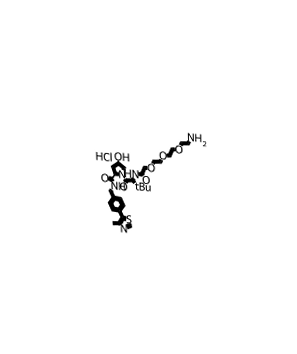 Cc1ncsc1-c1ccc(CNC(=O)[C@H]2C[C@H](O)CN2C(=O)C(NC(=O)COCCOCCOCCN)C(C)(C)C)cc1.Cl